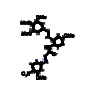 COc1ccc(NC(=O)/C=C/c2ccc([N+](=O)[O-])c(OC)c2)c(C=Cc2cc(OC)c(OC)c(OC)c2)c1